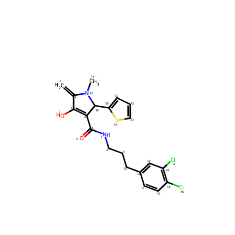 C=C1C(O)=C(C(=O)NCCCc2ccc(Cl)c(Cl)c2)C(c2cccs2)N1C